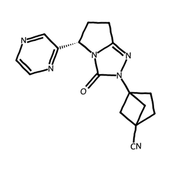 N#CC12CCC(n3nc4n(c3=O)[C@H](c3cnccn3)CC4)(C1)C2